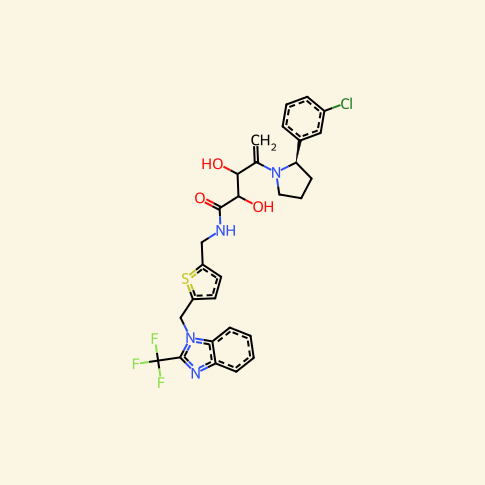 C=C(C(O)C(O)C(=O)NCc1ccc(Cn2c(C(F)(F)F)nc3ccccc32)s1)N1CCC[C@@H]1c1cccc(Cl)c1